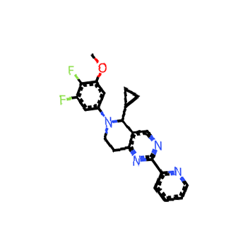 COc1cc(N2CCc3nc(-c4ccccn4)ncc3C2C2CC2)cc(F)c1F